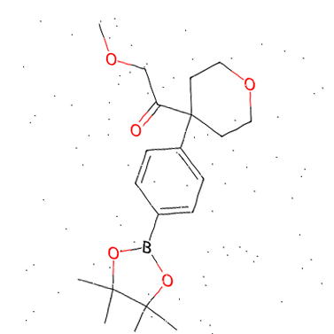 COCC(=O)C1(c2ccc(B3OC(C)(C)C(C)(C)O3)cc2)CCOCC1